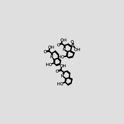 O=C(O)c1ccc2cccc(O)c2n1.O=C(O)c1ccc2cccc(O)c2n1.O=C(O)c1ccc2cccc(O)c2n1.[O]=[Al][OH]